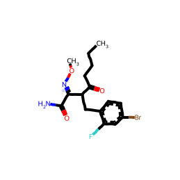 CCCCC(=O)C(Cc1ccc(Br)cc1F)/C(=N\OC)C(N)=O